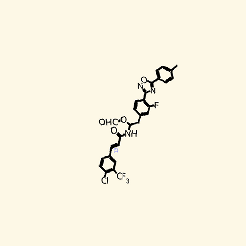 Cc1ccc(-c2nc(-c3ccc(CC(NC(=O)/C=C/c4ccc(Cl)c(C(F)(F)F)c4)OC=O)cc3F)no2)cc1